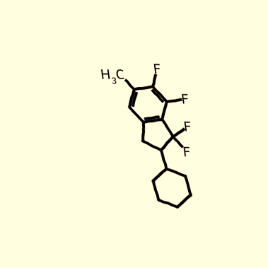 Cc1cc2c(c(F)c1F)C(F)(F)C(C1CCCCC1)C2